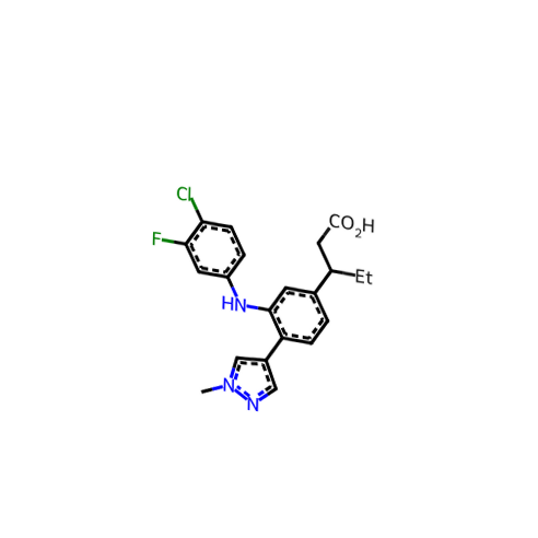 CCC(CC(=O)O)c1ccc(-c2cnn(C)c2)c(Nc2ccc(Cl)c(F)c2)c1